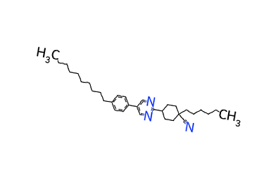 CCCCCCCCCCc1ccc(-c2cnc(C3CCC(C#N)(CCCCCC)CC3)nc2)cc1